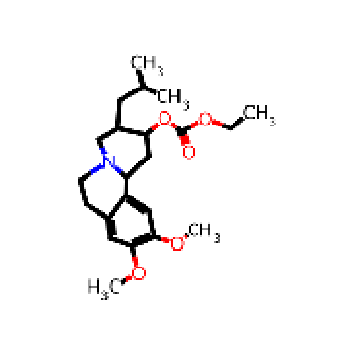 CCOC(=O)OC1CC2c3cc(OC)c(OC)cc3CCN2CC1CC(C)C